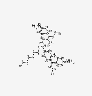 CCCCCCCCC(c1ccc(C(CCC)c2ccc(N)cc2C)cc1)c1ccc(C(CCC)c2ccc(N)cc2C)cc1